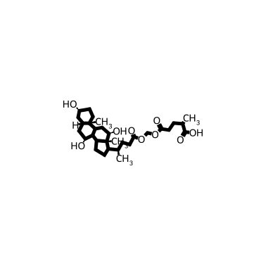 CC(CCC(=O)OCOC(=O)CC[C@@H](C)C1CCC2C3C(C[C@H](O)[C@@]21C)[C@@]1(C)CC[C@@H](O)C[C@H]1C[C@H]3O)C(=O)O